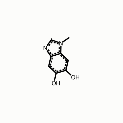 Cn1[c]nc2cc(O)c(O)cc21